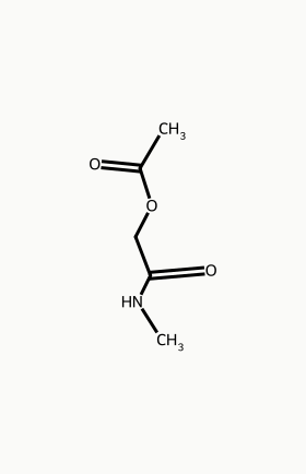 CNC(=O)COC(C)=O